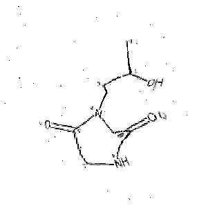 CC(O)CN1C(=O)CNC1=O